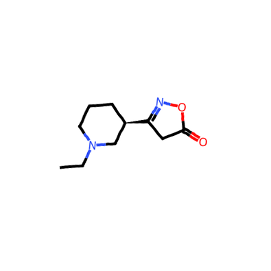 CCN1CCC[C@@H](C2=NOC(=O)C2)C1